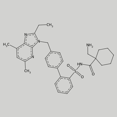 CCc1nc2c(C)cc(C)nc2n1Cc1ccc(-c2ccccc2S(=O)(=O)NC(=O)C2(CN)CCCCC2)cc1